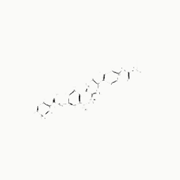 CCNC(=O)Nc1ccc(-c2cncc(N[C@@H](C)c3cccc(NC(=O)c4cccnc4)c3)n2)cc1